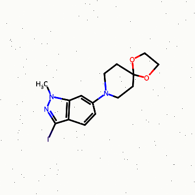 Cn1nc(I)c2ccc(N3CCC4(CC3)OCCO4)cc21